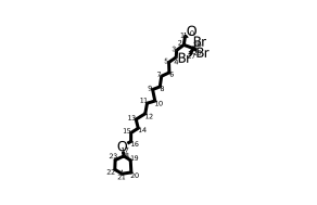 O=[C]C(CCCCCCCCCCCCCCOC1CC[CH]CC1)C(Br)(Br)Br